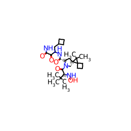 CC(C)(C)[C@H](NO)C(=O)N1C[C@]2(C[C@H]1C(=O)NC(CC1CCC1)C(=O)C(N)=O)C(C)(C)C21CCC1